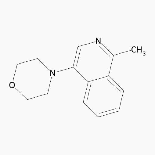 Cc1ncc(N2CCOCC2)c2ccccc12